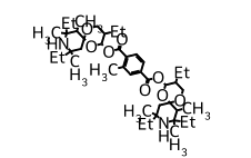 CCC1COC2(CC(C)(CC)NC(C)(CC)C2C)OC1OC(=O)c1ccc(C(=O)OC2OC3(CC(C)(CC)NC(C)(CC)C3C)OCC2CC)c(C)c1